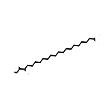 OCC(O)C(O)CCCCCCCCCCCCCCCCCC(O)O